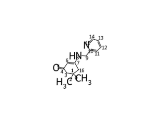 CC1(C)CC(=O)C=C(NCc2ccccn2)C1